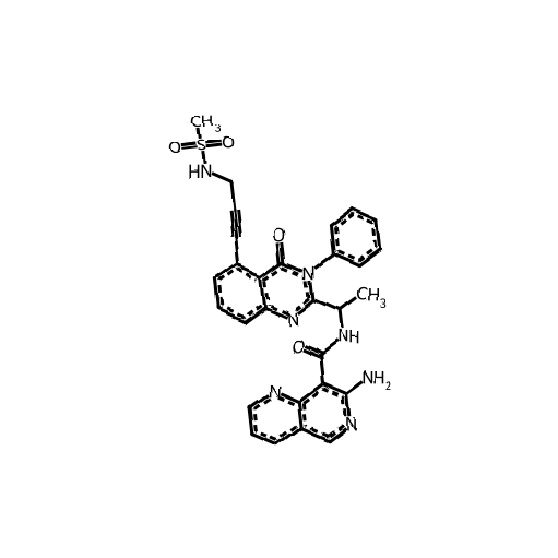 CC(NC(=O)c1c(N)ncc2cccnc12)c1nc2cccc(C#CCNS(C)(=O)=O)c2c(=O)n1-c1ccccc1